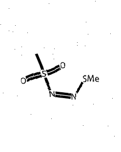 CS/N=N\S(C)(=O)=O